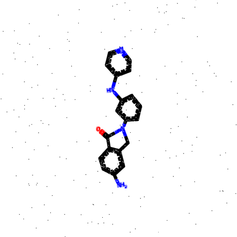 Nc1ccc2c(c1)CN(c1cccc(Nc3ccncc3)c1)C2=O